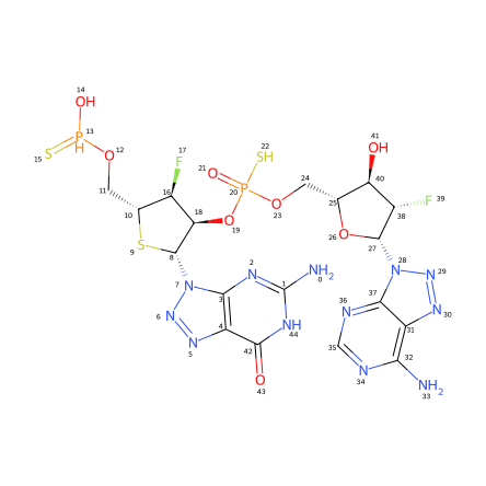 Nc1nc2c(nnn2[C@@H]2S[C@H](CO[PH](O)=S)[C@@H](F)[C@H]2OP(=O)(S)OC[C@H]2O[C@@H](n3nnc4c(N)ncnc43)[C@@H](F)[C@@H]2O)c(=O)[nH]1